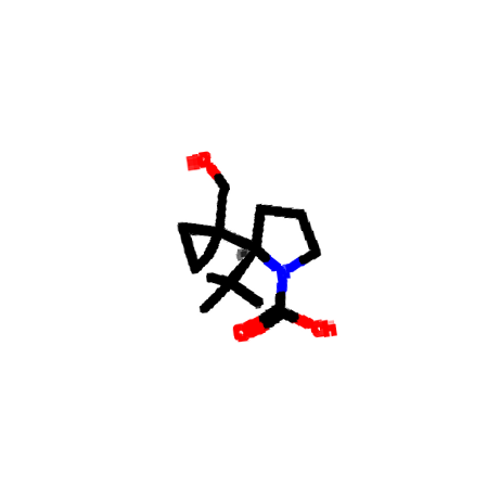 CC(C)(C)[C@@]1(C2(CO)CC2)CCCN1C(=O)O